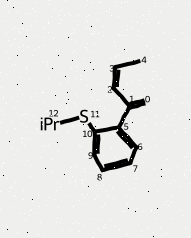 C=C(/C=C\C)c1ccccc1SC(C)C